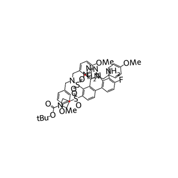 COc1ccc(CN(Cc2ccc(OC)cc2)S(=O)(=O)c2c(S(=O)(=O)C3CN(C(=O)OC(C)(C)C)C3)ccc(-c3ccc(F)c(N)c3N)c2-c2nnnn2Cc2ccc(OC)cc2)cc1